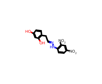 O=[N+]([O-])c1ccc(NN=CCc2ccc(O)cc2O)c([N+](=O)[O-])c1